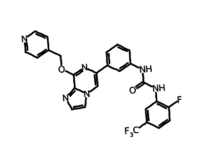 O=C(Nc1cccc(-c2cn3ccnc3c(OCc3ccncc3)n2)c1)Nc1cc(C(F)(F)F)ccc1F